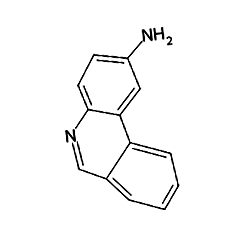 Nc1ccc2ncc3ccccc3c2c1